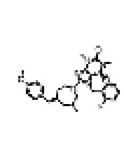 COc1ccc(/C=C2\CCN(c3nc4c(c(=O)n(C)c(=O)n4C)n3Cc3c(F)cccc3Cl)CC(C)C2)cc1